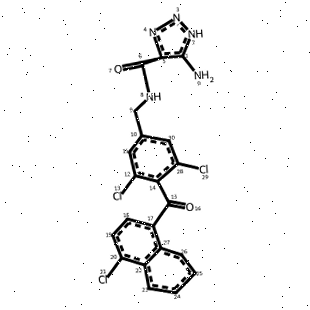 Nc1[nH]nnc1C(=O)NCc1cc(Cl)c(C(=O)c2ccc(Cl)c3ccccc23)c(Cl)c1